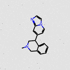 CN1Cc2ccccc2C(c2ccn3ccnc3c2)C1